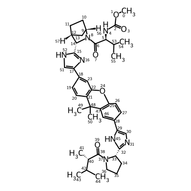 COC(=O)N[C@H](C(=O)N1[C@H]2CC[C@H](C2)[C@H]1c1nc(-c2ccc3c(c2)Oc2ccc(-c4cnc([C@@H]5CCCN5C(=O)[C@@H](C)C(C)C)[nH]4)cc2C3(C)C)c[nH]1)C(C)C